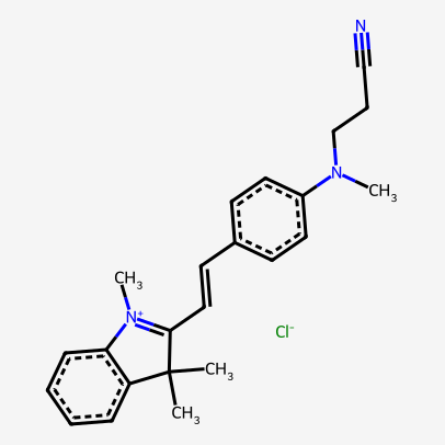 CN(CCC#N)c1ccc(/C=C/C2=[N+](C)c3ccccc3C2(C)C)cc1.[Cl-]